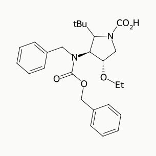 CCO[C@H]1CN(C(=O)O)C(C(C)(C)C)[C@@H]1N(Cc1ccccc1)C(=O)OCc1ccccc1